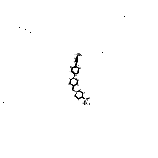 CN(C1CCN(CC2CCN(c3ccc(C#CC(C)(C)C)cc3)CC2)CC1)C(C)(C)C